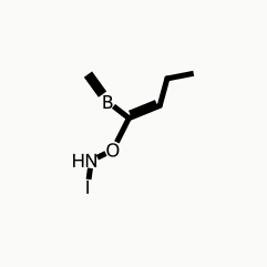 C=B/C(=C\CC)ONI